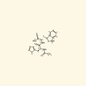 CC(=O)N[C@@H](Cc1cccs1)C(=O)N[C@@H](CC1CNc2ccccc21)C(=O)O